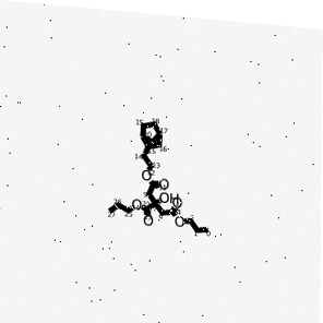 CCCOC(=O)CC(O)(CC(=O)OCCC1CC2CCC1C2)C(=O)OCCC